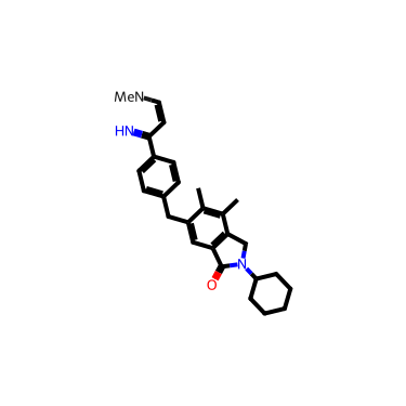 CN/C=C\C(=N)c1ccc(Cc2cc3c(c(C)c2C)CN(C2CCCCC2)C3=O)cc1